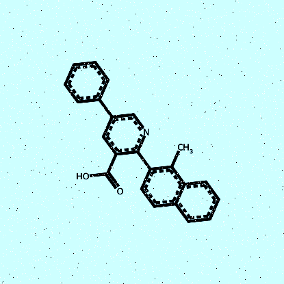 Cc1c(-c2ncc(-c3ccccc3)cc2C(=O)O)ccc2ccccc12